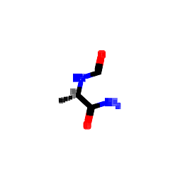 C[C@H](NC=O)C(N)=O